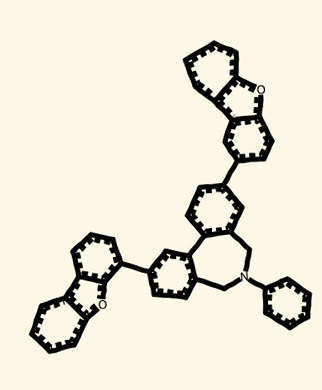 c1ccc(N2Cc3cc(-c4ccc5oc6ccccc6c5c4)ccc3-c3cc(-c4cccc5c4oc4ccccc45)ccc3C2)cc1